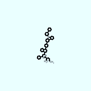 C=C/C=C\C(=C/C)c1nc(-c2ccccc2)cc(-c2ccc(-c3ccc(-c4ccc5c(c4)c4ccccc4n5C4=CC(c5ccccc5)CC=C4)cc3)c3ccccc23)n1